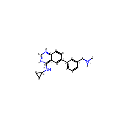 CN(C)Cc1cccc(-c2ccc3ncnc(NC4CC4)c3c2)c1